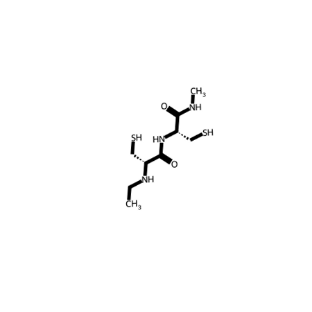 CCN[C@H](CS)C(=O)N[C@@H](CS)C(=O)NC